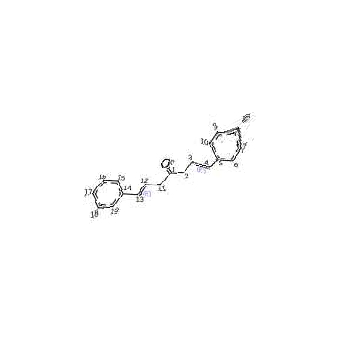 O=C(C/C=C/c1ccccc1)C/C=C/c1ccccc1